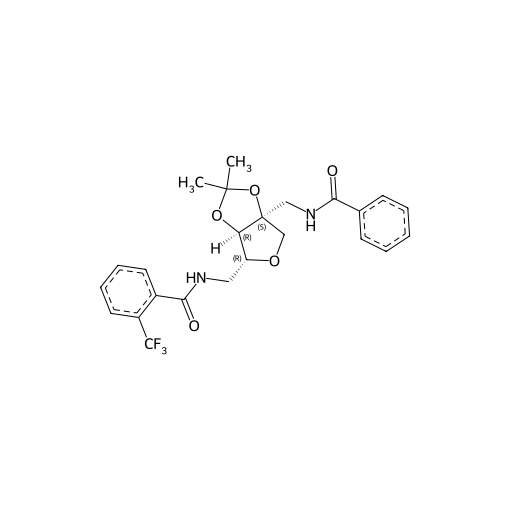 CC1(C)O[C@@H]2[C@@H](CNC(=O)c3ccccc3C(F)(F)F)OC[C@]2(CNC(=O)c2ccccc2)O1